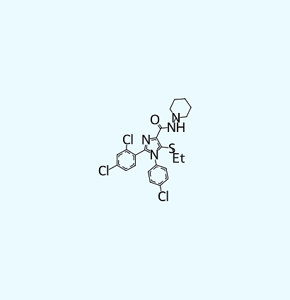 CCSc1c(C(=O)NN2CCCCC2)nc(-c2ccc(Cl)cc2Cl)n1-c1ccc(Cl)cc1